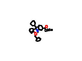 COC(=O)C1C=c2c(c(C3CCCCC3)c(-c3ccccc3OCc3ccccc3)n2C)=CC1